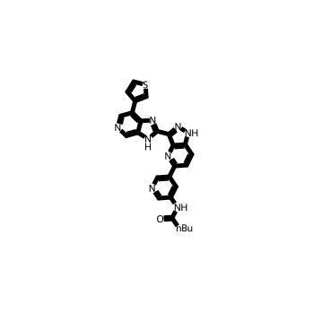 CCCCC(=O)Nc1cncc(-c2ccc3[nH]nc(-c4nc5c(-c6ccsc6)cncc5[nH]4)c3n2)c1